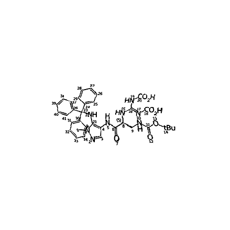 Cn1ncc(NC(=O)[C@H](CNC(=O)OC(C)(C)C)NC(=NC(=O)O)NC(=O)O)c1NC(c1ccccc1)(c1ccccc1)c1ccccc1